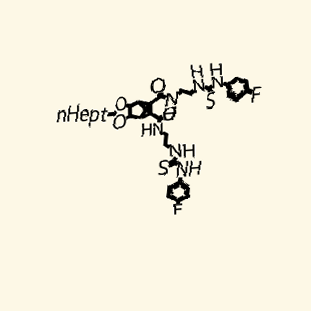 CCCCCCCC1OC2C3CC(C(C(=O)NCCNC(=S)Nc4ccc(F)cc4)=C3C(=O)NCCNC(=S)Nc3ccc(F)cc3)C2O1